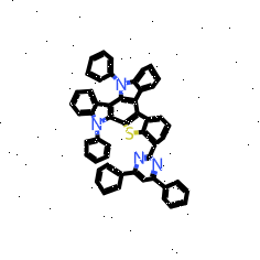 c1ccc(-c2cc(-c3ccccc3)nc(-c3cccc4c3sc3c4c4c5ccccc5n(-c5ccccc5)c4c4c5ccccc5n(-c5ccccc5)c34)n2)cc1